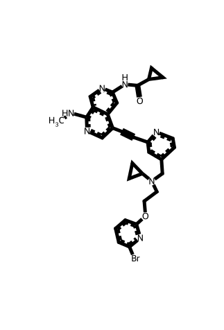 CNc1ncc(C#Cc2cc(CN(CCOc3cccc(Br)n3)C3CC3)ccn2)c2cc(NC(=O)C3CC3)ncc12